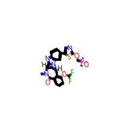 CN1C(=O)c2cccc(OC(F)F)c2[C@H]2C[C@@H]1c1nc3ccc(-c4cnc(OCP(C)(C)=O)s4)cc3n12